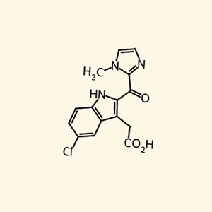 Cn1ccnc1C(=O)c1[nH]c2ccc(Cl)cc2c1CC(=O)O